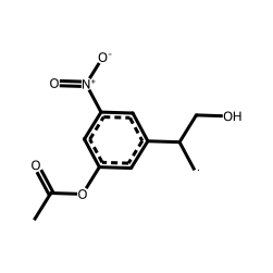 [CH2]C(CO)c1cc(OC(C)=O)cc([N+](=O)[O-])c1